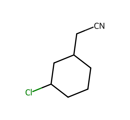 N#CCC1CCCC(Cl)C1